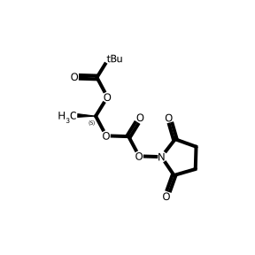 C[C@H](OC(=O)ON1C(=O)CCC1=O)OC(=O)C(C)(C)C